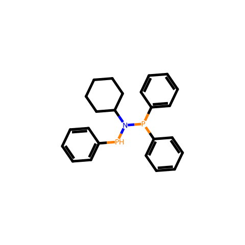 c1ccc(PN(C2CCCCC2)P(c2ccccc2)c2ccccc2)cc1